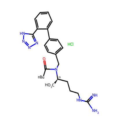 CCCCC(=O)N(Cc1ccc(-c2ccccc2-c2nnn[nH]2)cc1)[C@@H](CCCNC(=N)N)C(=O)O.Cl